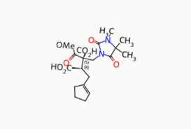 COC(=O)[C@@](CN1C(=O)N(C)C(C)(C)C1=O)(C(=O)O)[C@@H](CC1=CCCC1)C(=O)O